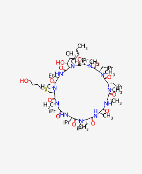 C/C=C/C[C@@H](C)[C@@H](O)[C@H]1C(=O)N[C@H](CC)C(=O)N(C)[C@H](CSCCCCO)C(=O)N(C)[C@@H](C(C)C)C(=O)N[C@H](C(C)C)C(=O)N(C)[C@H](CC(C)C)C(=O)N[C@H](C)C(=O)N[C@@H](C)C(=O)N(C)[C@@H](CC(C)C)C(=O)N(C)[C@H](CC(C)C)C(=O)N(C)[C@H](C(C)C)C(=O)N1C